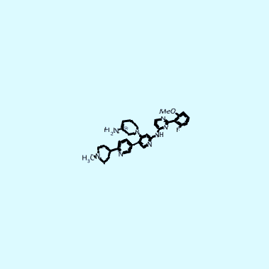 COc1cccc(F)c1-c1nccc(Nc2cc(N3CCC[C@H](N)C3)c(-c3ccc(C4CCN(C)CC4)nc3)cn2)n1